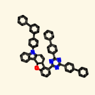 C1=CC2c3c(cccc3-c3nc(-c4ccc(-c5ccccc5)cc4)nc(-c4ccc(-c5ccccc5)cc4)n3)OC2c2c1n(-c1ccc(-c3cccc(-c4ccccc4)c3)cc1)c1ccccc21